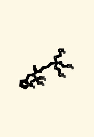 CCO[Si](CCCSC(=S)N(Cc1ccco1)[Si](C)(C)C)(OCC)OCC